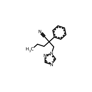 CCCC(C#N)(Cn1cncn1)c1ccccc1